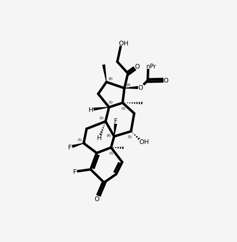 CCCC(=O)O[C@]1(C(=O)CO)[C@H](C)C[C@H]2[C@@H]3C[C@H](F)C4=C(F)C(=O)C=C[C@]4(C)[C@@]3(F)[C@@H](O)C[C@@]21C